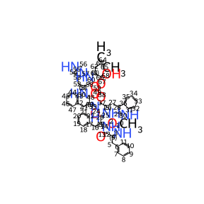 CC(=O)N[C@@H](Cc1ccccc1)C(=O)N[C@@H](Cc1ccccc1)C(=O)N[C@@H](Cc1c[nH]c2ccccc12)C(=O)N[C@@H](Cc1ccccc1)C(=O)N[C@@H](Cc1c[nH]cn1)C(=O)N[C@@H](CC(C)C)C(=O)O